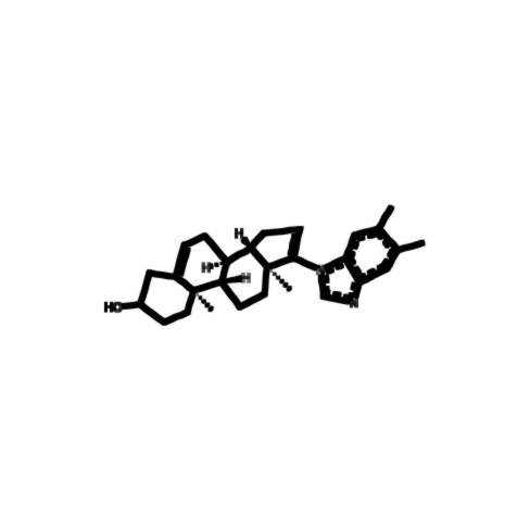 Cc1cc2ncn(C3=CC[C@H]4[C@@H]5CC=C6CC(O)CC[C@]6(C)[C@H]5CC[C@]34C)c2cc1C